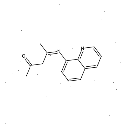 CC(=O)CC(C)=Nc1cccc2cccnc12